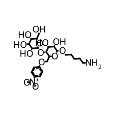 NCCCCCO[C@@H]1OC(COc2ccc([N+](=O)[O-])cc2)[C@@H](O[C@@H]2OC(CO)[C@H](O)C(O)[C@@H]2O)C(O)[C@@H]1O